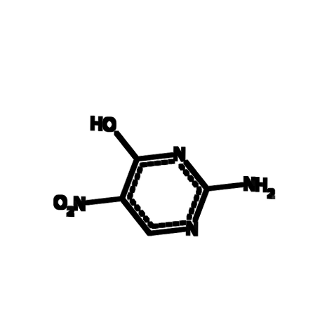 Nc1ncc([N+](=O)[O-])c(O)n1